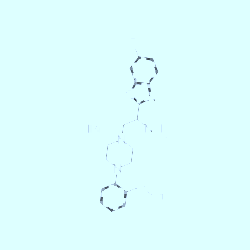 Br.CC(C)Oc1ccccc1N1CCN(CC(N)c2nc3ccc(F)cc3s2)CC1